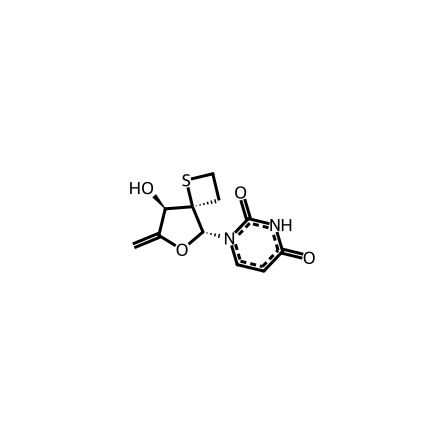 C=C1O[C@@H](n2ccc(=O)[nH]c2=O)[C@@]2(CCS2)[C@@H]1O